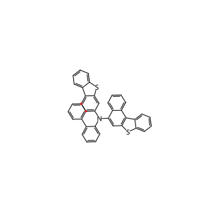 c1ccc(-c2ccccc2N(c2ccc3c(c2)sc2ccccc23)c2cc3sc4ccccc4c3c3ccccc23)cc1